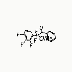 COP(F)(F)(C(=O)c1ccccc1)c1ccc(F)c(F)c1F